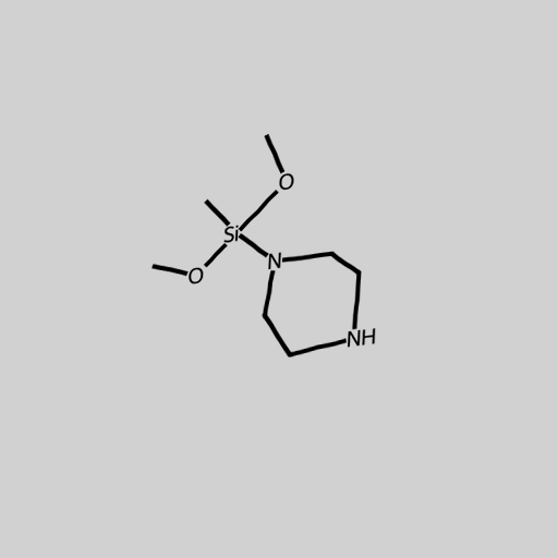 CO[Si](C)(OC)N1CCNCC1